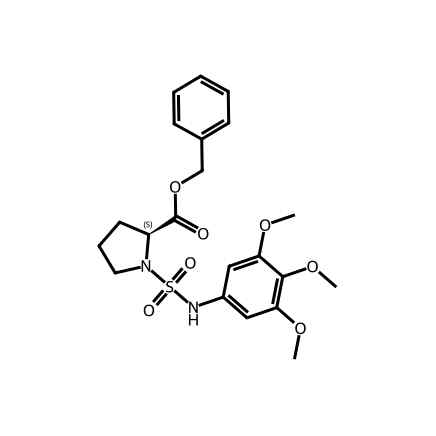 COc1cc(NS(=O)(=O)N2CCC[C@H]2C(=O)OCc2ccccc2)cc(OC)c1OC